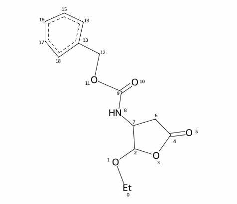 CCOC1OC(=O)CC1NC(=O)OCc1ccccc1